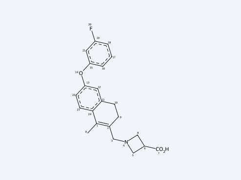 CC1=C(CN2CC(C(=O)O)C2)CCc2cc(Oc3cccc(F)c3)ccc21